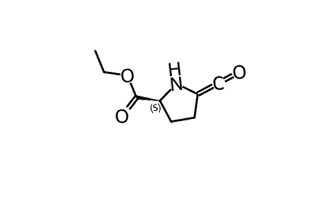 CCOC(=O)[C@@H]1CCC(=C=O)N1